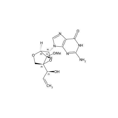 C=C[C@H](O)[C@@]12CO[C@@H]([C@H](n3cnc4c(=O)[nH]c(N)nc43)O1)[C@@H]2OC